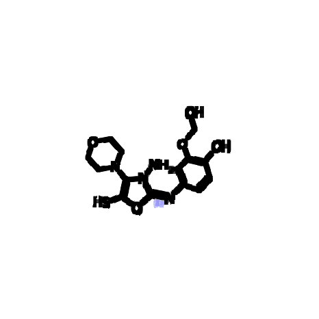 Nn1c(N2CCOCC2)c(S)o/c1=N/c1ccc(O)c(OCO)c1